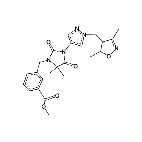 COC(=O)c1cccc(CN2C(=O)N(c3cnn(CC4C(C)=NOC4C)c3)C(=O)C2(C)C)c1